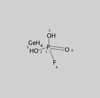 O=P(O)(O)F.[GeH4]